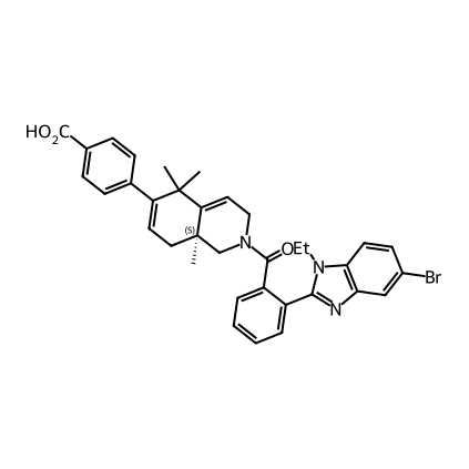 CCn1c(-c2ccccc2C(=O)N2CC=C3C(C)(C)C(c4ccc(C(=O)O)cc4)=CC[C@]3(C)C2)nc2cc(Br)ccc21